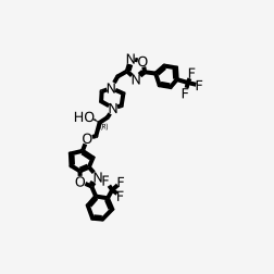 O[C@@H](COc1ccc2oc(-c3ccccc3C(F)(F)F)nc2c1)CN1CCN(Cc2noc(-c3ccc(C(F)(F)F)cc3)n2)CC1